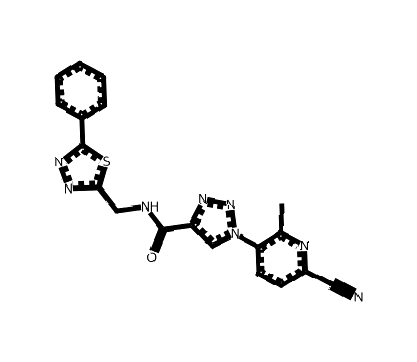 Cc1nc(C#N)ccc1-n1cc(C(=O)NCc2nnc(-c3ccccc3)s2)nn1